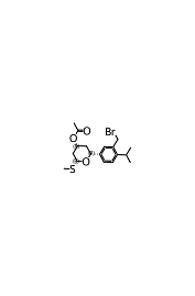 CS[C@@H]1C[C@H](OC(C)=O)C[C@H](c2ccc(C(C)C)c(CBr)c2)O1